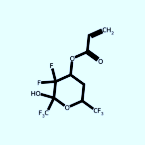 C=CC(=O)OC1CC(C(F)(F)F)OC(O)(C(F)(F)F)C1(F)F